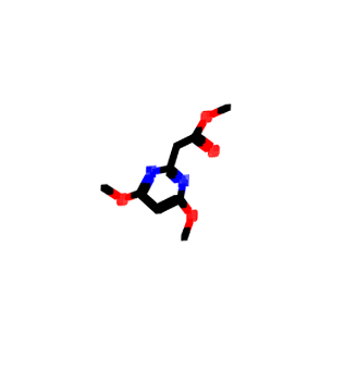 COC(=O)Cc1nc(OC)cc(OC)n1